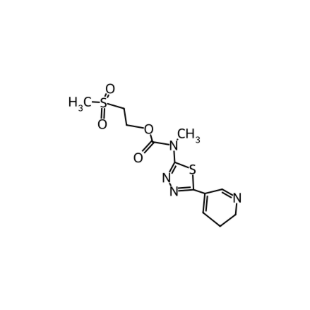 CN(C(=O)OCCS(C)(=O)=O)c1nnc(C2=CCCN=C2)s1